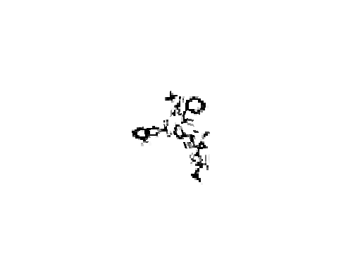 CC[C@@H]1C[C@]1(NC(=O)[C@@H]1C[C@@H](OC(=O)N2Cc3cccc(Cl)c3C2)CN1C(=O)[C@@H](NC(=O)OC(C)(C)C)C1CCCCC1)C(=O)NS(=O)(=O)C1CC1